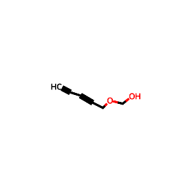 C#CC#CCOCO